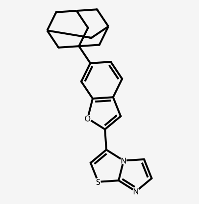 c1cn2c(-c3cc4ccc(C56CC7CC(CC(C7)C5)C6)cc4o3)csc2n1